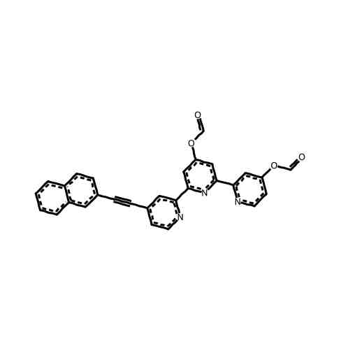 O=COc1ccnc(-c2cc(OC=O)cc(-c3cc(C#Cc4ccc5ccccc5c4)ccn3)n2)c1